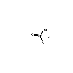 O=[N+]([O-])O.[Zr]